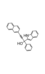 OC(C#Cc1ccc2ccccc2c1)(c1ccccc1)c1cc2ccccc2[nH]1